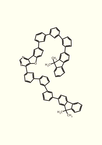 CC1(C)c2ccccc2-c2ccc(-c3cccc(-c4cccc(-c5cccc(-c6ccc7oc8c(-c9cccc(-c%10cccc(-c%11cccc(-c%12ccc%13c(c%12)C(C)(C)c%12ccccc%12-%13)c%11)c%10)c9)ncnc8c7c6)c5)c4)c3)cc21